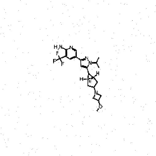 COC1CN(C2C[C@@H]3C(c4cc(-c5cnc(N)c(C(F)(F)F)c5)nn4C(C)C)[C@@H]3C2)C1